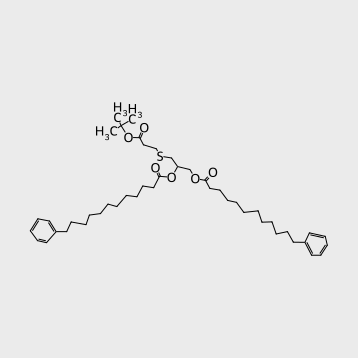 CC(C)(C)OC(=O)CCSCC(COC(=O)CCCCCCCCCCCc1ccccc1)OC(=O)CCCCCCCCCCCc1ccccc1